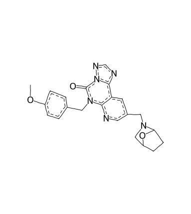 COc1ccc(Cn2c(=O)n3ncnc3c3cc(CN4CC5CCC4O5)cnc32)cc1